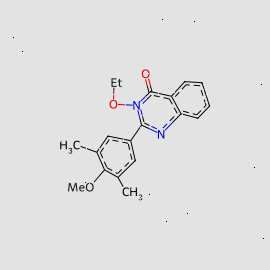 CCOn1c(-c2cc(C)c(OC)c(C)c2)nc2ccccc2c1=O